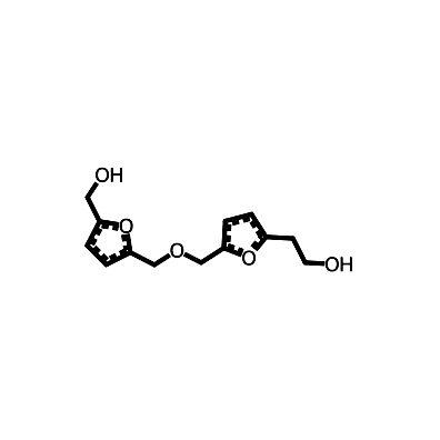 OCCc1ccc(COCc2ccc(CO)o2)o1